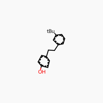 CC(C)(C)c1cccc(CCc2ccc(O)cc2)c1